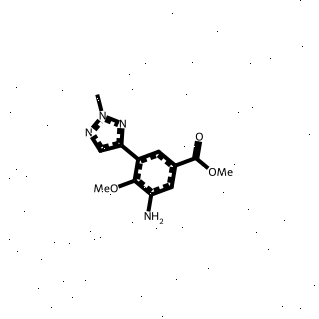 COC(=O)c1cc(N)c(OC)c(-c2cnn(C)n2)c1